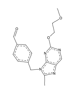 COCCOc1ncc2nc(C)n(Cc3ccc(C=O)cc3)c2n1